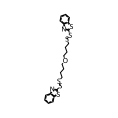 c1ccc2sc(SSCCCCOCCCCSSc3nc4ccccc4s3)nc2c1